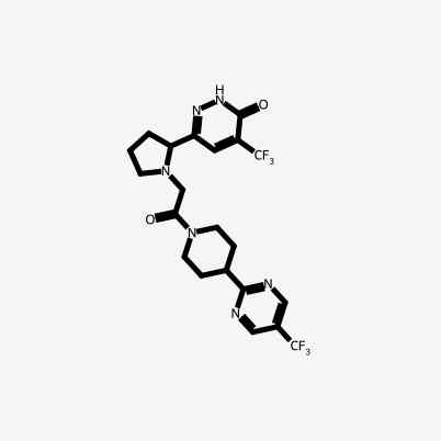 O=C(CN1CCCC1c1cc(C(F)(F)F)c(=O)[nH]n1)N1CCC(c2ncc(C(F)(F)F)cn2)CC1